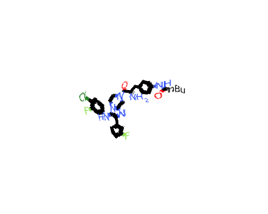 CCCCC(=O)Nc1ccc(C[C@H](N)C(=O)N2CCn3c(nc(-c4cccc(F)c4)c3Nc3ccc(Cl)c(F)c3)C2)cc1